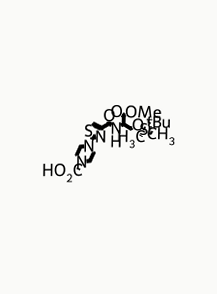 COC(=O)C(CO[Si](C)(C)C(C)(C)C)NC(=O)c1csc(N2CCN(C(=O)O)CC2)n1